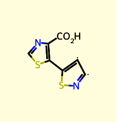 O=C(O)c1ncsc1-c1[c][c]ns1